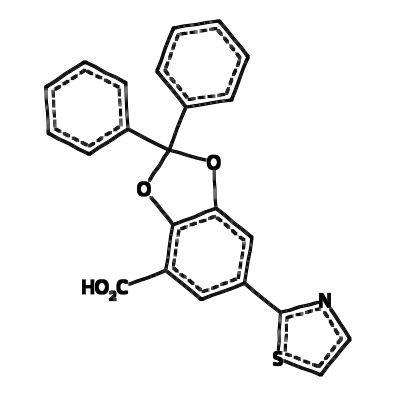 O=C(O)c1cc(-c2nccs2)cc2c1OC(c1ccccc1)(c1ccccc1)O2